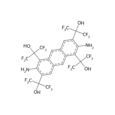 Nc1c(C(O)(C(F)(F)F)C(F)(F)F)cc2cc3c(C(O)(C(F)(F)F)C(F)(F)F)c(N)c(C(O)(C(F)(F)F)C(F)(F)F)cc3cc2c1C(O)(C(F)(F)F)C(F)(F)F